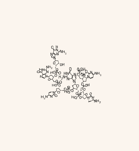 Nc1ccn([C@H]2C[C@H](OP(=O)(O)OC[C@H]3O[C@@H](n4ccc(N)nc4=O)C[C@@H]3OP(=O)(O)OC[C@H]3O[C@@H](n4cnc5c(=O)[nH]c(N)nc54)C[C@@H]3OP(=O)(O)OC[C@H]3O[C@@H](n4ccc(N)nc4=O)C[C@@H]3OP(=O)(O)OC[C@H]3O[C@@H](n4cnc5c(=O)[nH]c(N)nc54)C[C@@H]3OP(=O)(O)OC[C@H]3O[C@@H](n4cnc5c(=O)[nH]c(N)nc54)C[C@@H]3O)[C@@H](COP(=O)(O)O)O2)c(=O)n1